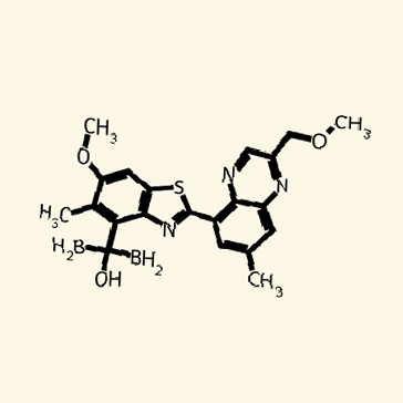 BC(B)(O)c1c(C)c(OC)cc2sc(-c3cc(C)cc4nc(COC)cnc34)nc12